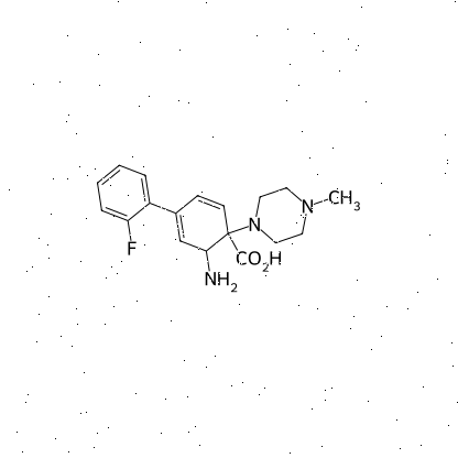 CN1CCN(C2(C(=O)O)C=CC(c3ccccc3F)=CC2N)CC1